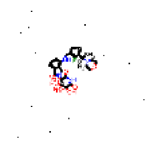 BC(B)(c1cccc(CNc2cccc3c2CN(C2(O)C(=O)NC(=O)C(O)(O)C2(O)O)C3=O)c1F)N1CCOCC1